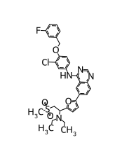 CCN(CC)C(CS(C)(=O)=O)c1ccc(-c2ccc3ncnc(Nc4ccc(OCc5cccc(F)c5)c(Cl)c4)c3c2)o1